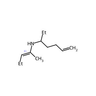 C=CCCC(CC)N/C(C)=C/CC